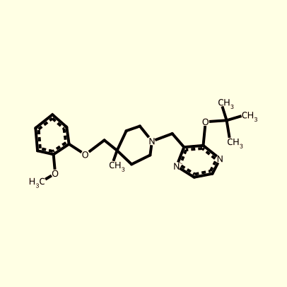 COc1ccccc1OCC1(C)CCN(Cc2nccnc2OC(C)(C)C)CC1